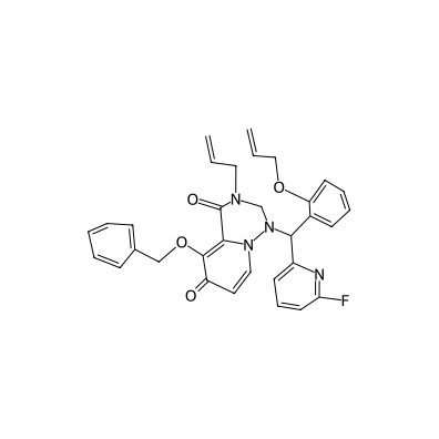 C=CCOc1ccccc1C(c1cccc(F)n1)N1CN(CC=C)C(=O)c2c(OCc3ccccc3)c(=O)ccn21